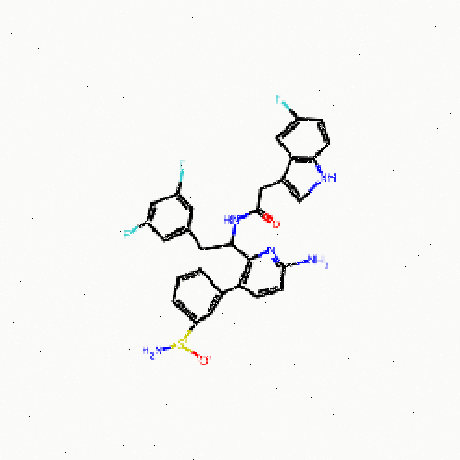 Nc1ccc(-c2cccc([S+](N)[O-])c2)c(C(Cc2cc(F)cc(F)c2)NC(=O)Cc2c[nH]c3ccc(F)cc23)n1